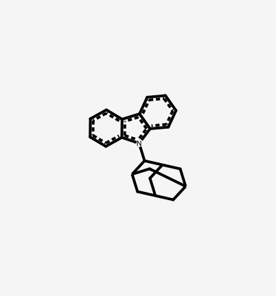 c1ccc2c(c1)c1ccccc1n2C1C2CC3CC(C2)CC1C3